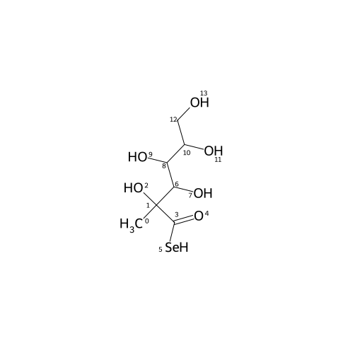 CC(O)(C(=O)[SeH])C(O)C(O)C(O)CO